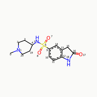 CN1CCC(NS(=O)(=O)c2ccc3c(c2)CC(=O)N3)CC1